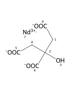 O=C([O-])CC(O)(CC(=O)[O-])C(=O)[O-].[Nd+3]